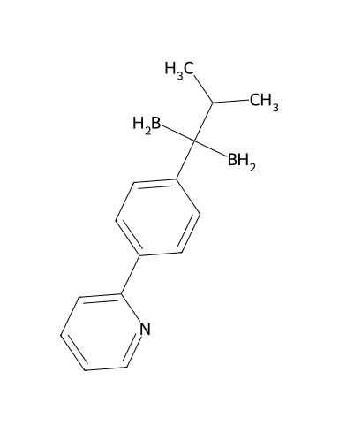 BC(B)(c1ccc(-c2ccccn2)cc1)C(C)C